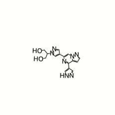 OCC(CO)n1cc(-c2cn3nccc3c(-c3cn[nH]c3)n2)cn1